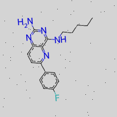 CCCCCNc1nc(N)nc2ccc(-c3ccc(F)cc3)nc12